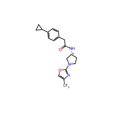 O=C(Cc1ccc(C2CC2)cc1)N[C@@H]1CCN(c2nc(C(F)(F)F)co2)C1